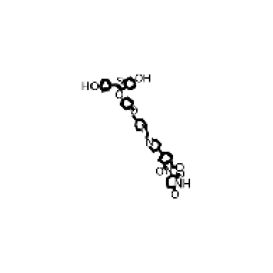 O=C1CCC(N2C(=O)c3ccc(C4CCN(CCN5CCC(COc6ccc(Oc7c(-c8ccc(O)cc8)sc8cc(O)ccc78)cc6)CC5)CC4)cc3C2=O)C(=O)N1